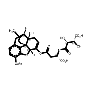 COc1ccc2c3c1O[C@H]1C(OC(=O)C[C@H](OC(=O)[C@H](O)[C@@H](O)C(=O)O)C(=O)O)=CC[C@@]4(O)[C@@H](C2)C(C)CC[C@]314